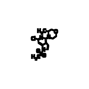 CC1COCCN1c1nc(Cl)cc2c1ccn2S(C)(=O)=O